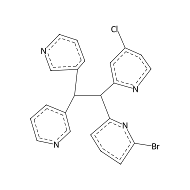 Clc1ccnc(C(c2cccc(Br)n2)C(c2cccnc2)c2cccnc2)c1